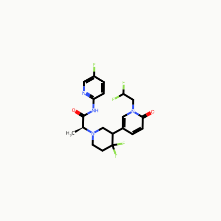 C[C@@H](C(=O)Nc1ccc(F)cn1)N1CCC(F)(F)C(c2ccc(=O)n(CC(F)F)c2)C1